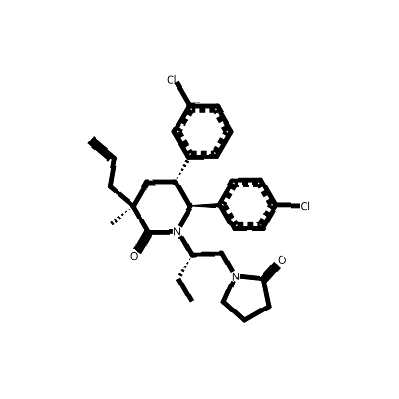 C=CC[C@@]1(C)C[C@H](c2cccc(Cl)c2)[C@@H](c2ccc(Cl)cc2)N([C@@H](CC)CN2CCCC2=O)C1=O